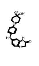 O=C1COc2ccc(Nc3ccc(N4CCC(O)(C(F)(F)F)CC4)cc3)cc2N1